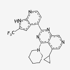 FC(F)(F)c1cc2c(-c3nc(N4CCCCC4)c4c(C5CC5)cncc4n3)ccnc2[nH]1